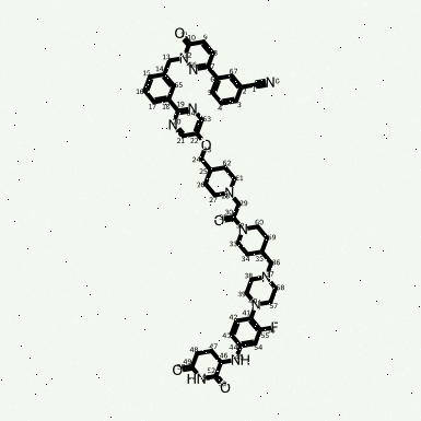 N#Cc1cccc(-c2ccc(=O)n(Cc3cccc(-c4ncc(OCC5CCN(CC(=O)N6CCC(CN7CCN(c8ccc(NC9CCC(=O)NC9=O)cc8F)CC7)CC6)CC5)cn4)c3)n2)c1